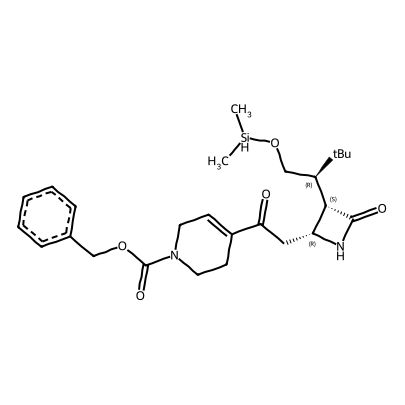 C[SiH](C)OC[C@H]([C@@H]1C(=O)N[C@@H]1CC(=O)C1=CCN(C(=O)OCc2ccccc2)CC1)C(C)(C)C